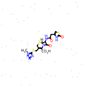 Cn1nnnc1SCC1=C(C(=O)O)N2C(=O)C(NC(=O)Cc3csc(=O)[nH]3)[C@H]2SC1